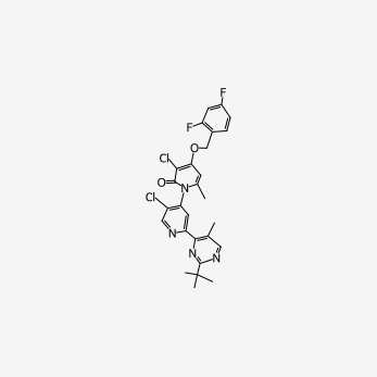 Cc1cnc(C(C)(C)C)nc1-c1cc(-n2c(C)cc(OCc3ccc(F)cc3F)c(Cl)c2=O)c(Cl)cn1